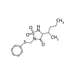 CCCC(C)C1NS(=O)(=O)N(CSc2ccccc2)C1=O